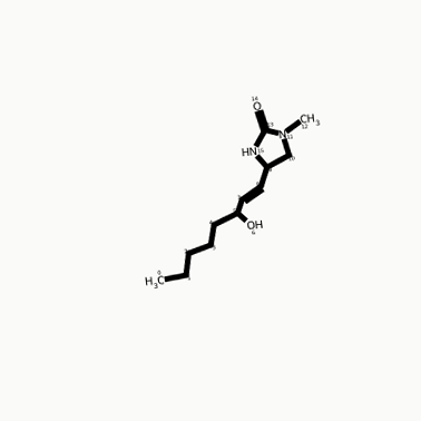 CCCCCC(O)/C=C/C1CN(C)C(=O)N1